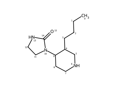 CCCCC1CNCCC1N1CCNC1=O